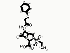 CCS(=O)(=O)N1CC2[C@H](NC(=O)COc3ccccc3)C(=O)N2C1C(=O)O